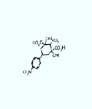 O=C(O)C1(O)CC(c2ccc([N+](=O)[O-])cc2)CC(O)(C(=O)O)C1[N+](=O)[O-]